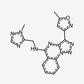 Cc1cc(-c2nnn3c2nc(NCc2ncnn2C)c2ccccc23)no1